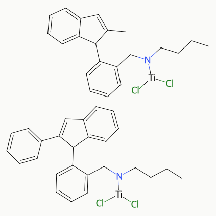 CCCC[N](Cc1ccccc1C1C(C)=Cc2ccccc21)[Ti]([Cl])[Cl].CCCC[N](Cc1ccccc1C1C(c2ccccc2)=Cc2ccccc21)[Ti]([Cl])[Cl]